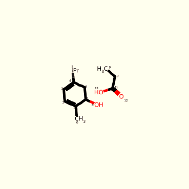 CC1=CC=C(C(C)C)CC1O.CCC(=O)O